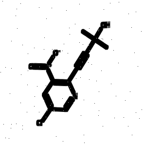 CC(C)(O)C#Cc1ncc(Cl)cc1[N+](=O)[O-]